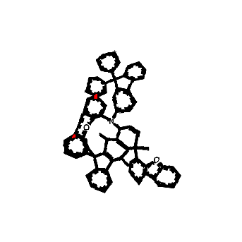 CC1C2=C3C(C)C4=C1C(C)(c1cccc5c1oc1ccccc15)C=CC4(C)N(c1ccc4c(c1)C(c1ccccc1)(c1ccccc1)c1ccccc1-4)c1cccc4c1oc1c(cccc14)C3(c1ccccc1)c1ccccc12